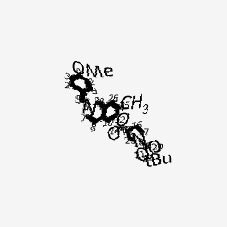 COc1ccc(CN2C=Cc3cc(OC(=O)[C@@H]4CCN(C(=O)OC(C)(C)C)C4)c(C)cc3C2)cc1